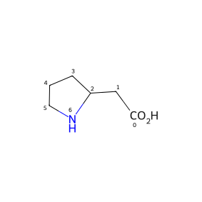 O=C(O)CC1CCCN1